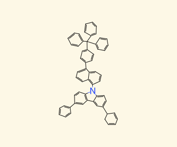 C1=CCC(c2ccc3c(c2)c2cc(-c4ccccc4)ccc2n3-c2cccc3c(-c4ccc(C(c5ccccc5)(c5ccccc5)c5ccccc5)cc4)cccc23)C=C1